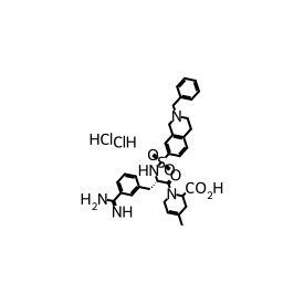 CC1=CCN(C(=O)[C@H](Cc2cccc(C(=N)N)c2)NS(=O)(=O)c2ccc3c(c2)CN(Cc2ccccc2)CC3)C(C(=O)O)C1.Cl.Cl